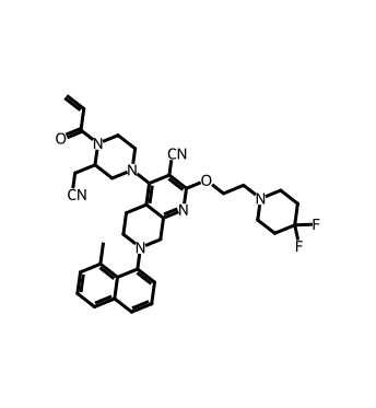 C=CC(=O)N1CCN(c2c(C#N)c(OCCN3CCC(F)(F)CC3)nc3c2CCN(c2cccc4cccc(C)c24)C3)CC1CC#N